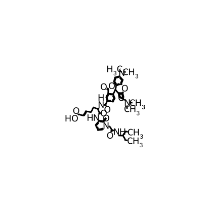 CCC(CC)CNC(=O)Cn1cccc(NC(=O)C(CCC=CC(=O)O)NC(=O)c2ccc3c(c2)C(=O)OC32c3ccc(N(C)C)cc3Oc3cc(N(C)C)ccc32)c1=O